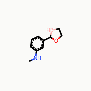 CNc1cccc(C2BCCO2)c1